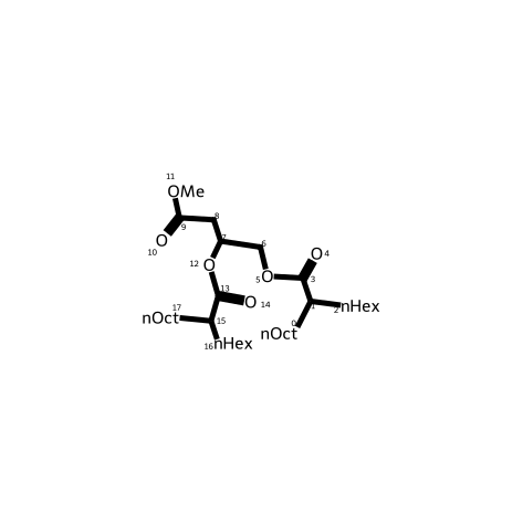 CCCCCCCCC(CCCCCC)C(=O)OCC(CC(=O)OC)OC(=O)C(CCCCCC)CCCCCCCC